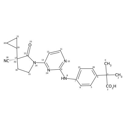 CC(C)(C(=O)O)c1ccc(Nc2nccc(N3CC[C@@](C#N)(C4CC4)C3=O)n2)cc1